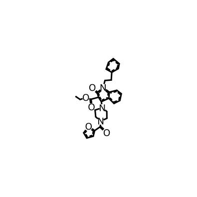 CCOC(=O)c1c(N2CCN(C(=O)c3ccco3)CC2)c2ccccc2n(CCc2ccccc2)c1=O